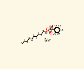 CCCCCCCCCCCOS(=O)(=O)c1ccccc1.[Na]